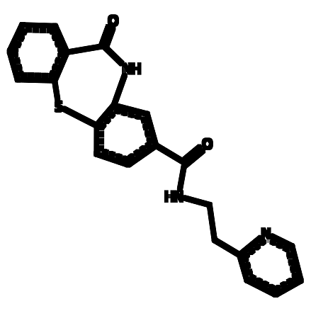 O=C(NCCc1ccccn1)c1ccc2c(c1)NC(=O)c1ccccc1S2